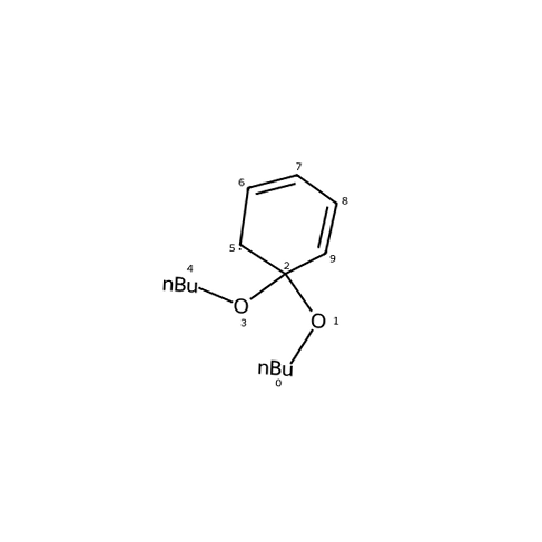 CCCCOC1(OCCCC)[CH]C=CC=C1